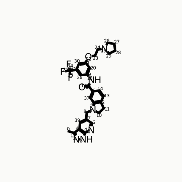 Cc1n[nH]c2ncc(CN3CCc4ccc(C(=O)Nc5cc(OCCN6CCCC6)cc(C(F)(F)F)c5)cc43)cc12